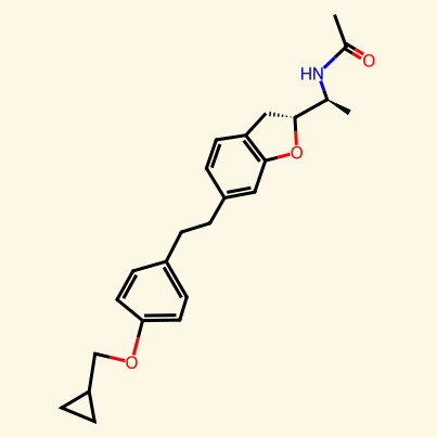 CC(=O)N[C@@H](C)[C@H]1Cc2ccc(CCc3ccc(OCC4CC4)cc3)cc2O1